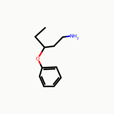 CCC(CCN)Oc1ccccc1